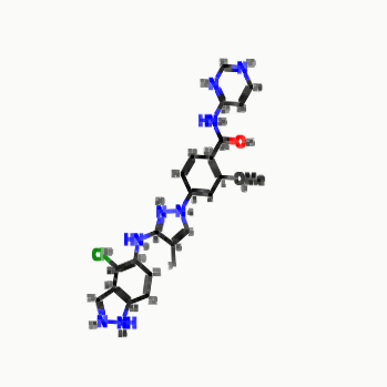 COc1cc(-n2cc(C)c(Nc3ccc4[nH]ncc4c3Cl)n2)ccc1C(=O)Nc1ccncn1